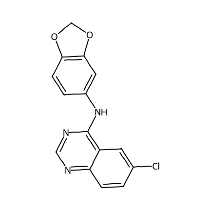 Clc1ccc2ncnc(Nc3ccc4c(c3)OCO4)c2c1